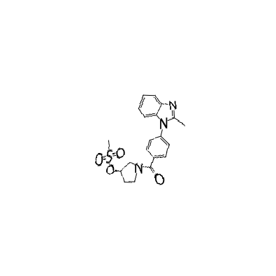 Cc1nc2ccccc2n1-c1ccc(C(=O)N2CC[C@@H](OS(C)(=O)=O)C2)cc1